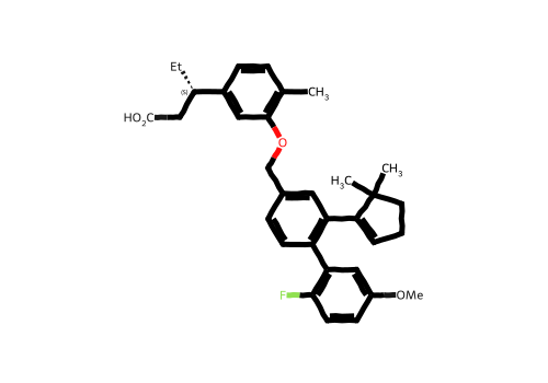 CC[C@@H](CC(=O)O)c1ccc(C)c(OCc2ccc(-c3cc(OC)ccc3F)c(C3=CCCC3(C)C)c2)c1